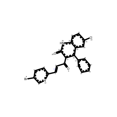 O=C(/C=C/c1ccc(Br)cn1)c1c(-c2ccccc2)c2cc(Cl)ccc2[nH]c1=O